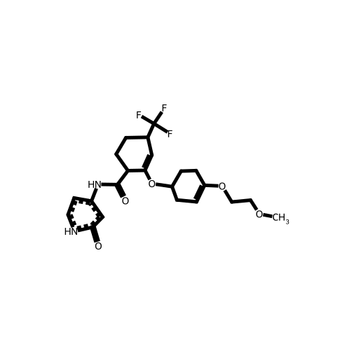 COCCOC1=CCC(OC2=CC(C(F)(F)F)CCC2C(=O)Nc2cc[nH]c(=O)c2)CC1